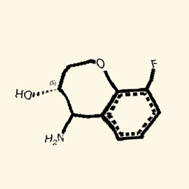 NC1c2cccc(F)c2OC[C@H]1O